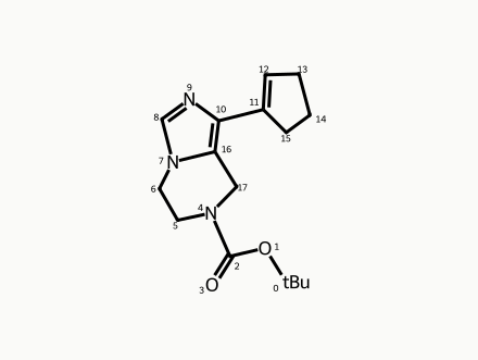 CC(C)(C)OC(=O)N1CCn2cnc(C3=CCCC3)c2C1